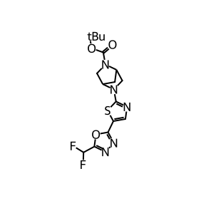 CC(C)(C)OC(=O)N1CC2CC1CN2c1ncc(-c2nnc(C(F)F)o2)s1